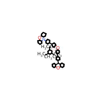 CC(C)c1cc(C(C)C)c(B2c3cc(-c4ccc(C5c6ccccc6Oc6ccccc65)cc4)ccc3Oc3ccc(-c4ccc(N5c6ccccc6Oc6ccccc65)cc4)cc32)c(C(C)C)c1